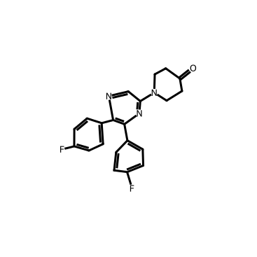 O=C1CCN(c2cnc(-c3ccc(F)cc3)c(-c3ccc(F)cc3)n2)CC1